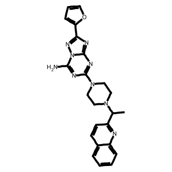 CC(c1ccc2ccccc2n1)N1CCN(c2nc(N)n3nc(-c4ccco4)nc3n2)CC1